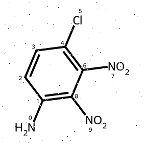 Nc1ccc(Cl)c([N+](=O)[O-])c1[N+](=O)[O-]